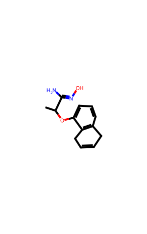 CC(Oc1cccc2c1CC=CC2)C(N)=NO